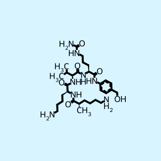 CC(C)[C@H](NC(=O)[C@H](CCCCN)NC(=O)[C@@H](C)CCCCN)C(=O)N[C@@H](CCCNC(N)=O)C(=O)Nc1ccc(CO)cc1